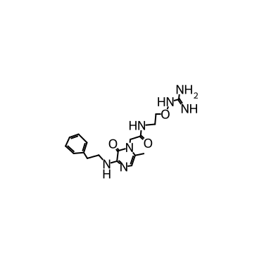 Cc1cnc(NCCc2ccccc2)c(=O)n1CC(=O)NCCONC(=N)N